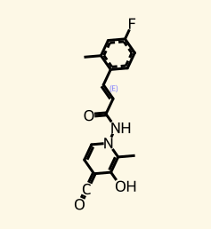 CC1=C(O)C(=C=O)C=CN1NC(=O)/C=C/c1ccc(F)cc1C